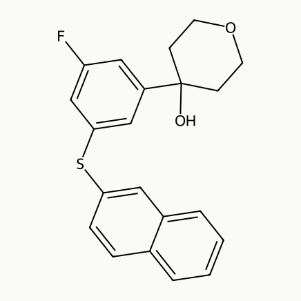 OC1(c2cc(F)cc(Sc3ccc4ccccc4c3)c2)CCOCC1